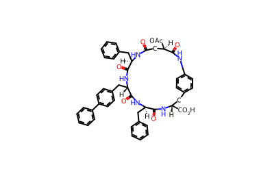 CC(=O)O[C@@H]1CC(=O)N[C@H](Cc2ccccc2)C(=O)N[C@@H](Cc2ccc(-c3ccccc3)cc2)C(=O)N[C@H](Cc2ccccc2)C(=O)N[C@@H](C(=O)O)Cc2ccc(cc2)NC1=O